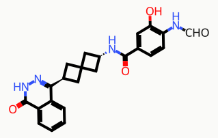 O=CNc1ccc(C(=O)N[C@H]2CC3(C2)C[C@H](c2n[nH]c(=O)c4ccccc42)C3)cc1O